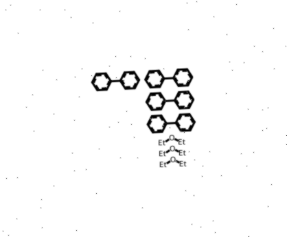 CCOCC.CCOCC.CCOCC.c1ccc(-c2ccccc2)cc1.c1ccc(-c2ccccc2)cc1.c1ccc(-c2ccccc2)cc1.c1ccc(-c2ccccc2)cc1